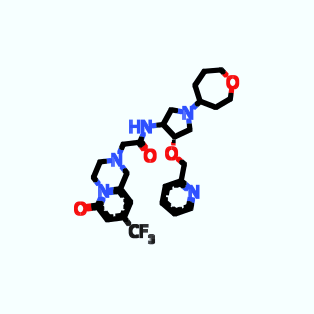 O=C(CN1CCn2c(cc(C(F)(F)F)cc2=O)C1)NC1CN(C2CCCOCC2)C[C@@H]1OCc1ccccn1